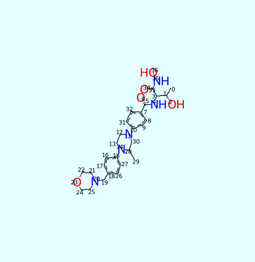 CC(O)C(NC(=O)c1ccc(N2CCN(c3ccc(CN4CCOCC4)cc3)C(C)C2)cc1)C(=O)NO